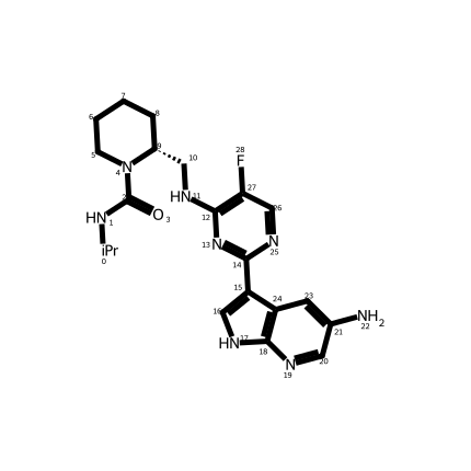 CC(C)NC(=O)N1CCCC[C@@H]1CNc1nc(-c2c[nH]c3ncc(N)cc23)ncc1F